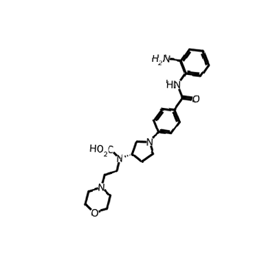 Nc1ccccc1NC(=O)c1ccc(N2CC[C@H](N(CCN3CCOCC3)C(=O)O)C2)cc1